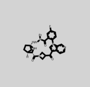 CCN(C(=O)c1cc(F)ccc1-n1cc(C(=O)C2CN(C(=O)[C@H]3N[C@@H]4CC[C@H]3C4)C2)c2ccncc21)C(C)C